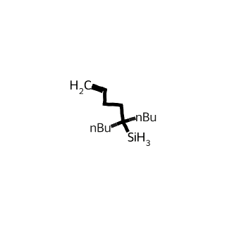 C=CCCC([SiH3])(CCCC)CCCC